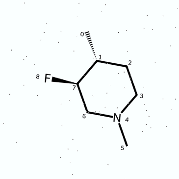 C[C@@H]1CCN(C)C[C@H]1F